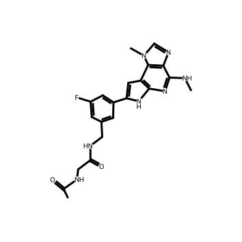 CNc1nc2[nH]c(-c3cc(F)cc(CNC(=O)CNC(C)=O)c3)cc2c2c1ncn2C